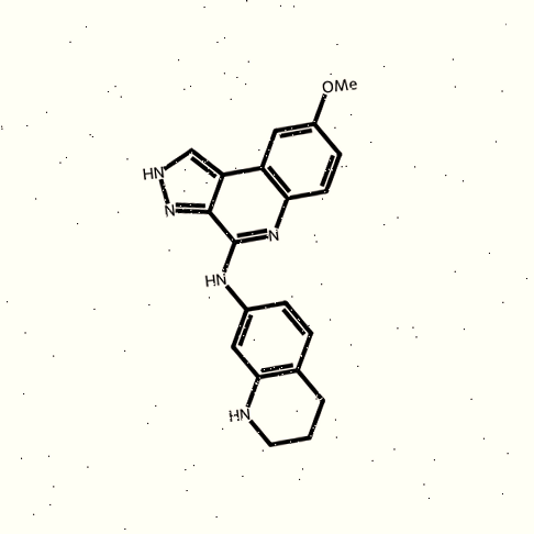 COc1ccc2nc(Nc3ccc4c(c3)NCCC4)c3n[nH]cc3c2c1